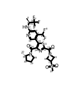 C[C@H](Nc1cc(C(F)F)c(-c2sc(C(=O)N3CC(S(C)(=O)=O)C3)nc2C(=O)N2CCC[C@@H]2C)cn1)C(F)(F)F